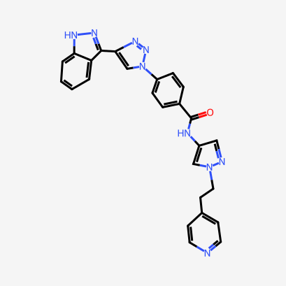 O=C(Nc1cnn(CCc2ccncc2)c1)c1ccc(-n2cc(-c3n[nH]c4ccccc34)nn2)cc1